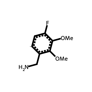 COc1c(CN)[c]cc(F)c1OC